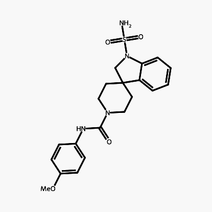 COc1ccc(NC(=O)N2CCC3(CC2)CN(S(N)(=O)=O)c2ccccc23)cc1